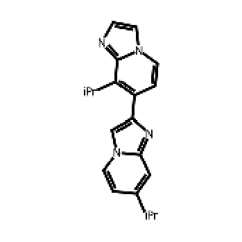 CC(C)c1ccn2cc(-c3ccn4ccnc4c3C(C)C)nc2c1